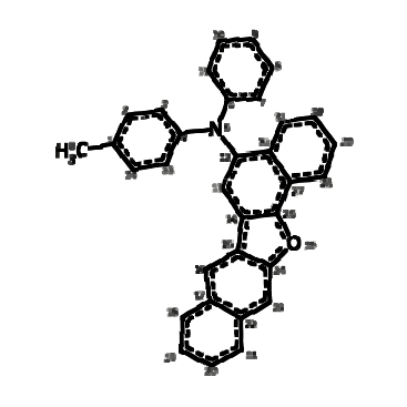 Cc1ccc(N(c2ccccc2)c2cc3c4cc5ccccc5cc4oc3c3ccccc23)cc1